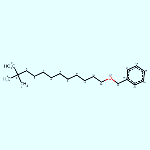 CC(C)(CCCCCCCCCCOCc1ccccc1)C(=O)O